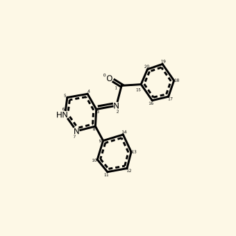 O=C(N=c1cc[nH]nc1-c1ccccc1)c1ccccc1